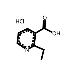 CCc1ncccc1C(=O)O.Cl